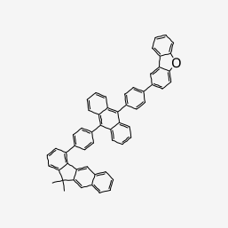 CC1(C)c2cc3ccccc3cc2-c2c(-c3ccc(-c4c5ccccc5c(-c5ccc(-c6ccc7oc8ccccc8c7c6)cc5)c5ccccc45)cc3)cccc21